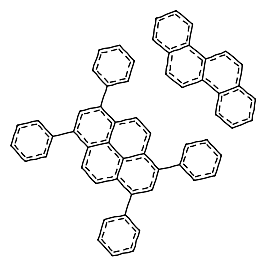 c1ccc(-c2cc(-c3ccccc3)c3ccc4c(-c5ccccc5)cc(-c5ccccc5)c5ccc2c3c54)cc1.c1ccc2c(c1)ccc1c3ccccc3ccc21